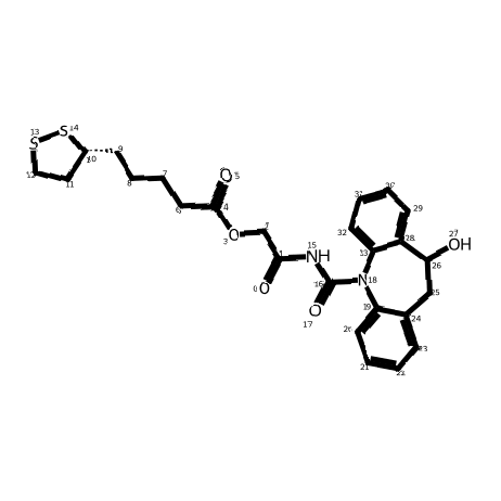 O=C(COC(=O)CCCC[C@@H]1CCSS1)NC(=O)N1c2ccccc2CC(O)c2ccccc21